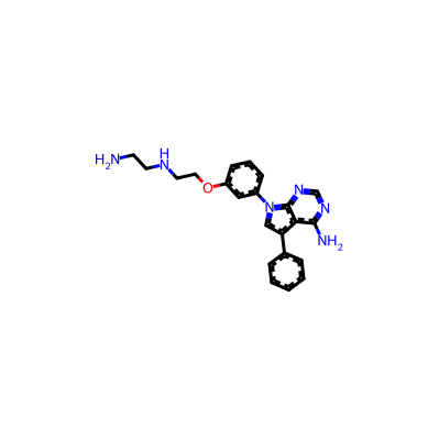 NCCNCCOc1cccc(-n2cc(-c3ccccc3)c3c(N)ncnc32)c1